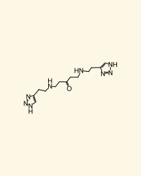 O=C(CCNCCc1c[nH]nn1)CCNCCc1c[nH]nn1